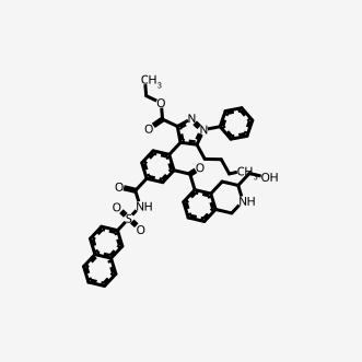 CCCCc1c(-c2ccc(C(=O)NS(=O)(=O)c3ccc4ccccc4c3)cc2C(=O)c2cccc3c2CC(CO)NC3)c(C(=O)OCC)nn1-c1ccccc1